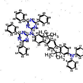 CC1(C)c2cc(N(c3ccccc3)c3ccccc3)ccc2-c2cc3c(cc21)-c1ccc(N(c2nc(-c4ccccc4)nc(-c4ccccc4)n2)c2nc(-c4ccccc4)nc(-c4ccccc4)n2)cc1C3(C)C